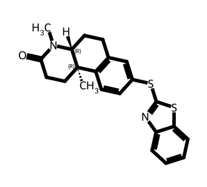 CN1C(=O)CC[C@]2(C)c3ccc(Sc4nc5ccccc5s4)cc3CC[C@@H]12